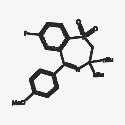 CCCCC1(CCCC)CS(=O)(=O)c2ccc(F)cc2C(c2ccc(OC)cc2)=N1